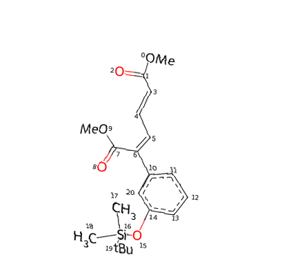 COC(=O)C=CC=C(C(=O)OC)c1cccc(O[Si](C)(C)C(C)(C)C)c1